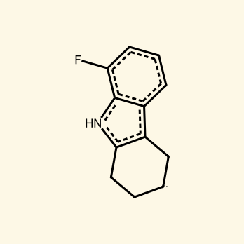 Fc1cccc2c3c([nH]c12)CC[CH]C3